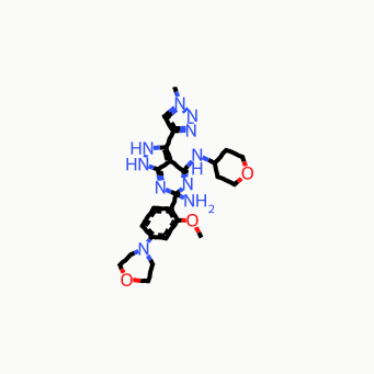 COc1cc(N2CCOCC2)ccc1C1(N)N=C2NNC(c3cn(C)nn3)=C2C(NC2CCOCC2)=N1